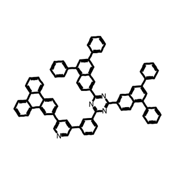 c1ccc(-c2cc(-c3ccccc3)c3ccc(-c4nc(-c5cccc(-c6cncc(-c7ccc8c9ccccc9c9ccccc9c8c7)c6)c5)nc(-c5ccc6c(-c7ccccc7)cc(-c7ccccc7)cc6c5)n4)cc3c2)cc1